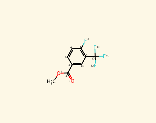 COC(=O)c1ccc(F)c(C(F)(F)F)c1